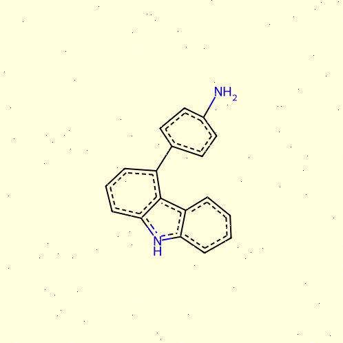 Nc1ccc(-c2cccc3[nH]c4ccccc4c23)cc1